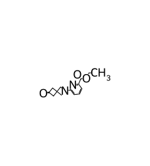 CCOC(=O)c1cccc(N2CC3(CC(=O)C3)C2)n1